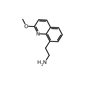 COc1ccc2cccc(CCN)c2n1